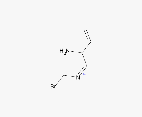 C=CC(N)/C=N\CBr